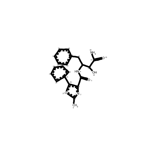 Cc1nc(C(=O)NC(Cc2ccccc2)C(O)C(N)=O)c(-c2ccccc2)o1